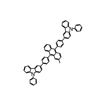 Cc1ccc2c(-c3ccc(-c4ccc5c(c4)c4ccccc4n5-c4ccccc4)cc3)c3ccccc3c(-c3ccc(-c4ccc5c(c4)c4ccccc4n5-c4ccccc4)cc3)c2c1